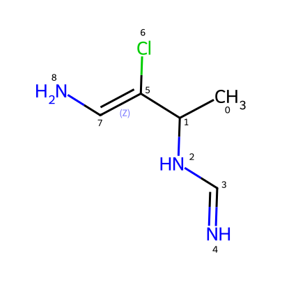 CC(NC=N)/C(Cl)=C/N